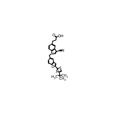 CC(C)(C)c1csc(-c2cc3cc(Cn4cc(C#N)c5cc(CCC(=O)O)ccc54)ccc3o2)n1